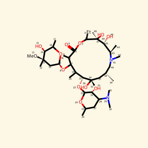 CCC1OC(=O)C(C)C(O[C@H]2C[C@@](C)(OC)[C@@H](O)C(C)O2)C(C)[C@@H](OC2OC(C)CC(N(C)C)[C@H]2O)[C@@](C)(O)C[C@@H](C)CN(C)[C@H](C)[C@@H](O)[C@]1(C)O